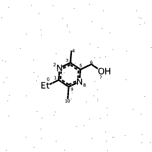 CCc1nc(C)c(CO)nc1C